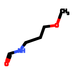 COCCCNC=O